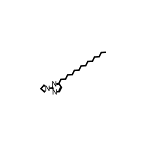 CCCCCCCCCCCCCCc1ccnc(N2CCC2)n1